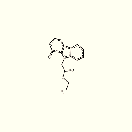 CCOC(=O)Cn1c2ccccc2c2sccc(=O)c21